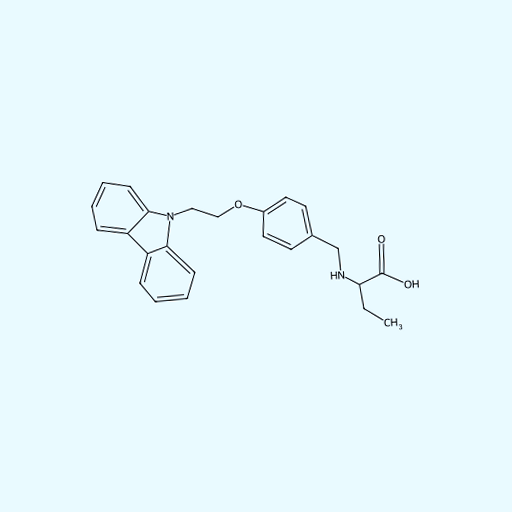 CCC(NCc1ccc(OCCn2c3ccccc3c3ccccc32)cc1)C(=O)O